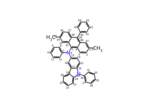 Cc1ccc2c(N(c3ccccc3)c3ccc4c(c3)c3ccccc3n4-c3ccccc3)c3cc(C)ccc3c(-c3ccccc3)c2c1